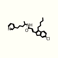 CCCCCC1=C(/C=C/C(=O)NC(C)CCCc2cccnc2)Cc2cc(Cl)ccc21